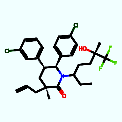 C=CC[C@@]1(C)C[C@H](c2cccc(Cl)c2)[C@@H](c2ccc(Cl)cc2)N(C(CC)CC[C@](C)(O)C(F)(F)F)C1=O